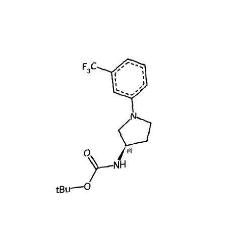 CC(C)(C)OC(=O)N[C@@H]1CCN(c2cccc(C(F)(F)F)c2)C1